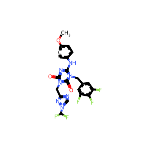 COc1ccc(Nc2nc(=O)n(Cc3ncn(C(F)F)n3)c(=O)n2Cc2cc(F)c(F)c(F)c2)cc1